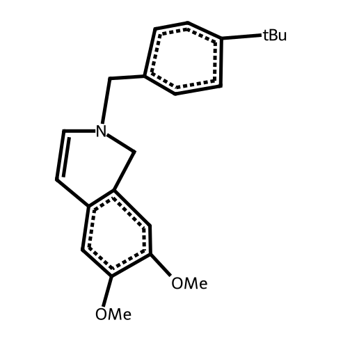 COc1cc2c(cc1OC)CN(Cc1ccc(C(C)(C)C)cc1)C=C2